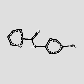 CCCCc1ccc(NC(=O)c2ccccn2)cc1